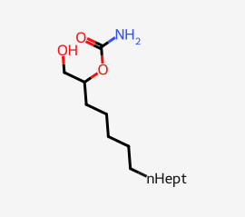 CCCCCCCCCCCCC(CO)OC(N)=O